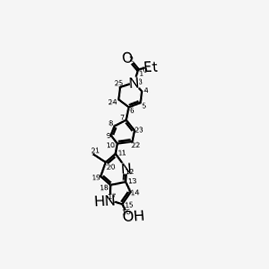 CCC(=O)N1CC=C(c2ccc(-c3nc4cc(O)[nH]c4cc3C)cc2)CC1